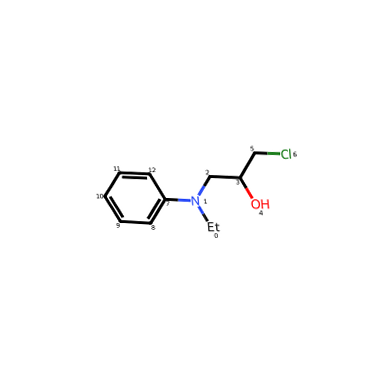 CCN(CC(O)CCl)c1ccccc1